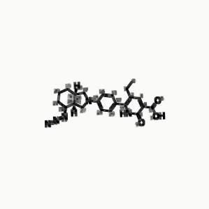 CCc1cc(C(=O)O)c(=O)[nH]c1-c1ccc(N2C[C@H]3CCC[C@H](N=[N+]=[N-])[C@H]3C2)cc1